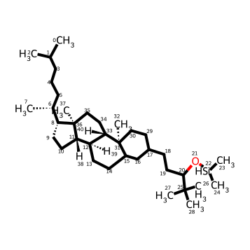 CC(C)CCC[C@@H](C)[C@H]1CC[C@H]2[C@@H]3CCC4CC(CCC(O[SiH](C)C)C(C)(C)C)CC[C@]4(C)[C@H]3CC[C@]12C